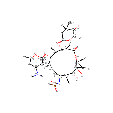 CO[C@H]1[C@H](O[C@@H]2[C@@H](C)[C@H](O[C@H]3C[C@@](C)(OC)[C@@H](O)[C@H](C)O3)[C@@H](C)C(=O)O[C@@H]3C(C)[C@]3(O)[C@H](O)[C@@H](C)[C@@H](NS(C)(=O)=O)[C@H](C)C[C@]2(C)OC)O[C@H](C)C[C@@H]1N(C)C